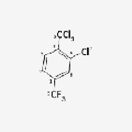 FC(F)(F)c1ccc(C(Cl)(Cl)Cl)c(Cl)c1